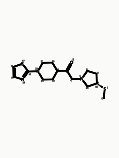 CS[C@H]1CCN(CC(=O)C2CCN(c3nccs3)CC2)C1